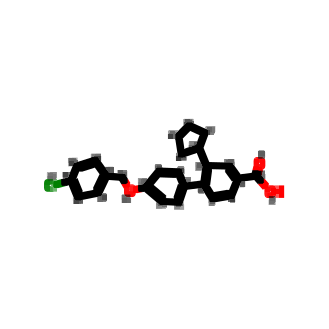 O=C(O)c1ccc(-c2ccc(OCc3ccc(Cl)cc3)cc2)c(C2CCCC2)c1